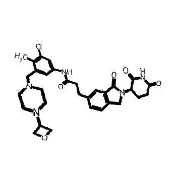 Cc1c(Cl)cc(NC(=O)CCc2ccc3c(c2)C(=O)N(C2CCC(=O)NC2=O)C3)cc1CN1CCN(C2COC2)CC1